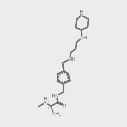 C[SiH2][C@H](N)C(=O)NCc1ccc(CNCCCNC2CCNCC2)cc1